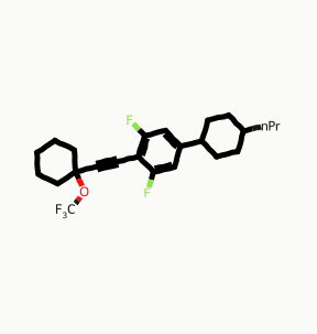 CCCC1CCC(c2cc(F)c(C#CC3(OC(F)(F)F)CCCCC3)c(F)c2)CC1